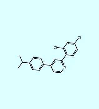 CC(C)c1ccc(-c2ccnc(-c3ccc(Cl)cc3Cl)c2)cc1